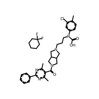 Cc1ccc(N(CCCN2CC3CN(C(=O)c4c(C)nc(-c5ccccc5)nc4C)CC3C2)C(=O)O)cc1Cl.FC1(F)CCCCC1